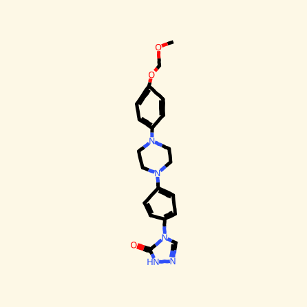 COCOc1ccc(N2CCN(c3ccc(-n4cn[nH]c4=O)cc3)CC2)cc1